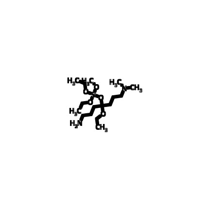 CCOC(CCCN)(CCCN(C)C)O[Si](OC)(OCC)OCC